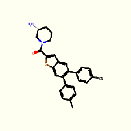 Cc1ccc(-c2cc3sc(C(=O)N4CCC[C@@H](N)C4)cc3cc2-c2ccc(C#N)cc2)cc1